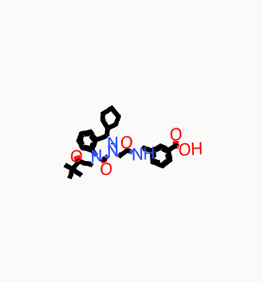 CC(C)(C)C(=O)CN1C(=O)N(CC(=O)NCc2cccc(C(=O)O)c2)N=C(C2CCCCC2)c2ccccc21